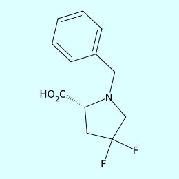 O=C(O)[C@H]1CC(F)(F)CN1Cc1ccccc1